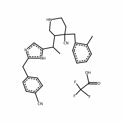 Cc1ccccc1CC1(C#N)CCNCC1C(C)c1cnc(Cc2ccc(C#N)cc2)[nH]1.O=C(O)C(F)(F)F